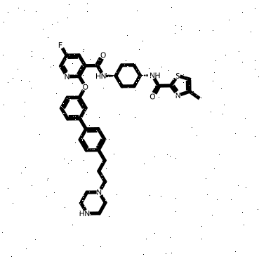 Cc1csc(C(=O)N[C@H]2CC[C@H](NC(=O)c3cc(F)cnc3Oc3cccc(-c4ccc(CCCN5CCNCC5)cc4)c3)CC2)n1